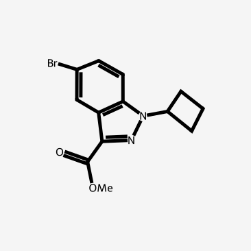 COC(=O)c1nn(C2CCC2)c2ccc(Br)cc12